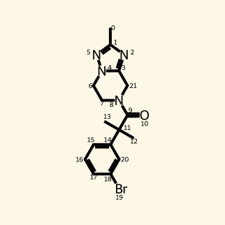 Cc1nc2n(n1)CCN(C(=O)C(C)(C)c1cccc(Br)c1)C2